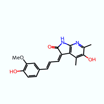 COc1cc(/C=C/C=C2\C(=O)Nc3nc(C)c(O)c(C)c32)ccc1O